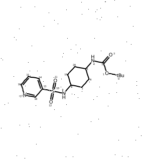 CC(C)(C)OC(=O)NC1CCC(NS(=O)(=O)c2cccnc2)CC1